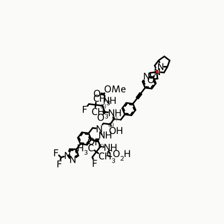 COC(=O)N[C@H](C(=O)N[C@@H](Cc1ccc(C#Cc2ccc(N3CC4CCC(C3)N4C3COC3)nc2)cc1)[C@@H](O)CN(Cc1ccc(-c2cnn(C(F)F)c2)cc1F)NC(=O)[C@@H](NC(=O)O)C(C)(C)CF)C(C)(C)CF